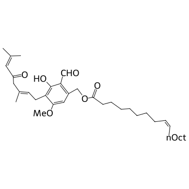 CCCCCCCC/C=C\CCCCCCCC(=O)OCc1cc(OC)c(C/C=C(\C)CC(=O)C=C(C)C)c(O)c1C=O